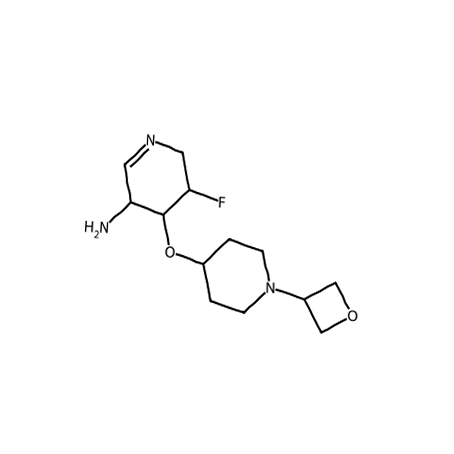 NC1C=NCC(F)C1OC1CCN(C2COC2)CC1